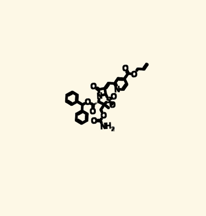 C=CCOC(=O)c1ccnc(/C=C2/C(=O)N3C2S(=O)(=O)C(C)(COC(N)=O)[C@@H]3C(=O)OC(c2ccccc2)c2ccccc2)c1